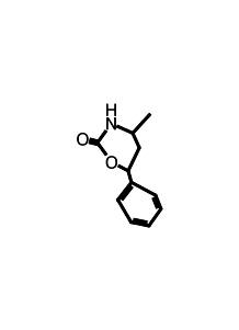 CC1CC(c2ccccc2)OC(=O)N1